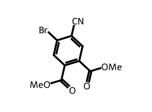 COC(=O)c1cc(Br)c(C#N)cc1C(=O)OC